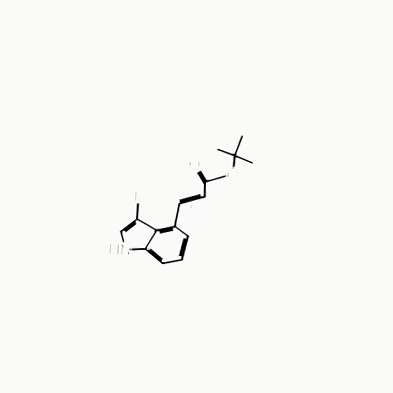 CC(C)(C)OC(=O)/C=C/c1cccc2[nH]cc(F)c12